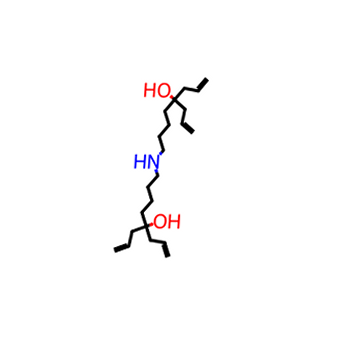 C=CCC(O)(CC=C)CCCCNCCCCC(O)(CC=C)CC=C